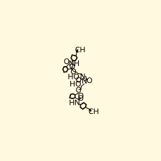 C#Cc1ccc(NC(=O)c2ccccc2C(=O)OCC(O)CN2CC(=O)N(CC(O)COC(=O)c3ccccc3C(=O)Nc3ccc(C#C)cc3)C2=O)cc1